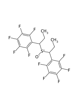 CCC(c1c(F)c(F)c(F)c(F)c1F)[S+]([O-])C(CC)c1c(F)c(F)c(F)c(F)c1F